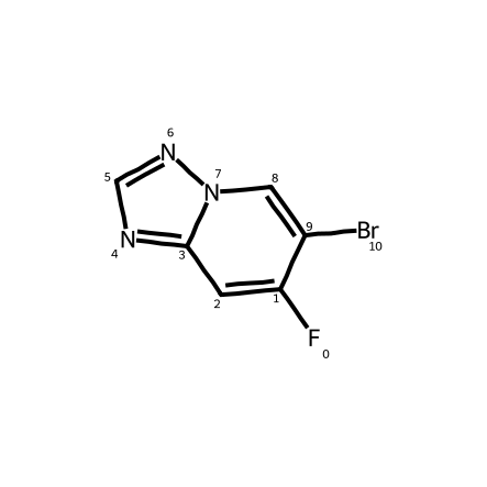 Fc1cc2ncnn2cc1Br